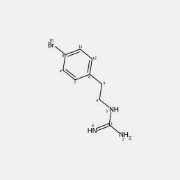 N=C(N)NCCc1ccc(Br)cc1